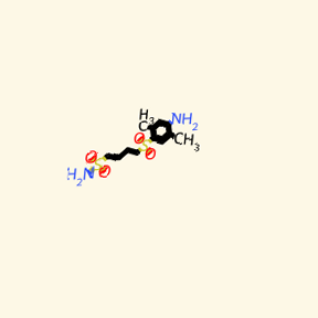 Cc1cc(S(=O)(=O)CCCCS(N)(=O)=O)c(C)cc1N